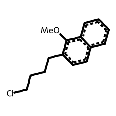 COc1c(CCCCCl)ccc2ccccc12